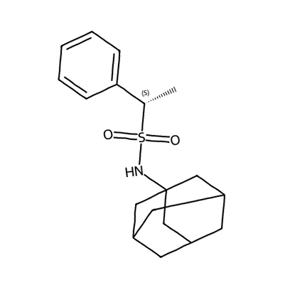 C[C@@H](c1ccccc1)S(=O)(=O)NC12CC3CC(CC(C3)C1)C2